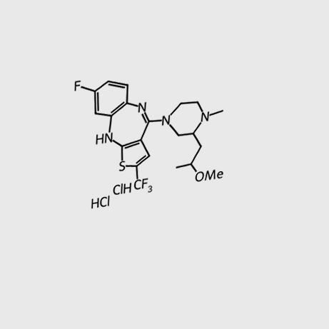 COC(C)CC1CN(C2=Nc3ccc(F)cc3Nc3sc(C(F)(F)F)cc32)CCN1C.Cl.Cl